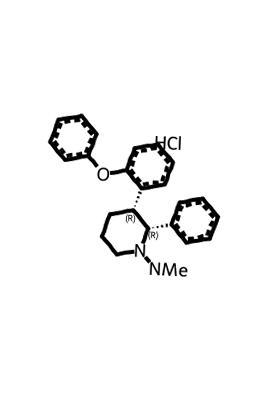 CNN1CCC[C@H](c2ccccc2Oc2ccccc2)[C@@H]1c1ccccc1.Cl